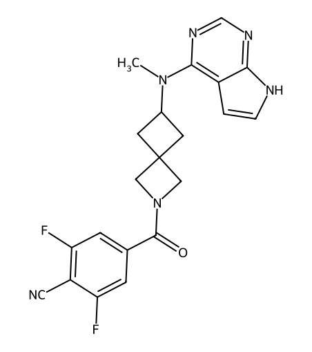 CN(c1ncnc2[nH]ccc12)C1CC2(C1)CN(C(=O)c1cc(F)c(C#N)c(F)c1)C2